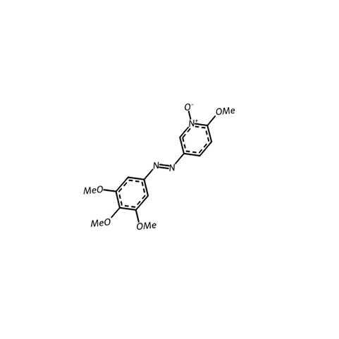 COc1cc(/N=N/c2ccc(OC)[n+]([O-])c2)cc(OC)c1OC